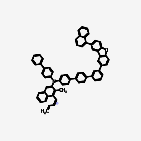 C=C/C=C\c1c(C)c(N(c2ccc(-c3ccccc3)cc2)c2ccc(-c3ccc(-c4cccc(-c5ccc6oc7ccc(-c8cccc9ccccc89)cc7c6c5)c4)cc3)cc2)cc2ccccc12